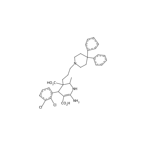 CC1NC(N)=C(C(=O)O)C(c2cccc(Cl)c2Cl)C1(CCCN1CCC(c2ccccc2)(c2ccccc2)CC1)C(=O)O